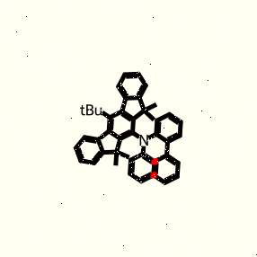 CC(C)(C)c1c2c(c(N(c3ccccc3)c3ccccc3-c3ccccc3)c3c1-c1ccccc1C3(C)C)C(C)(C)c1ccccc1-2